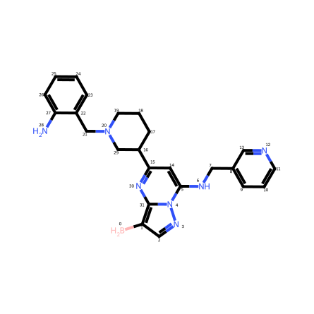 Bc1cnn2c(NCc3cccnc3)cc(C3CCCN(Cc4ccccc4N)C3)nc12